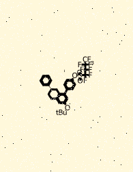 CC(C)(C)Oc1cc2c(c(-c3ccc(OS(=O)(=O)C(F)(F)C(F)(F)C(F)(F)C(F)(F)F)cc3)c1)C[C@@H](c1ccccc1)CC2